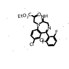 CCOC(=O)C(=O)CN1C(=N)CN=C(c2c(F)cccc2F)c2c1ccc(Cl)c2Cl